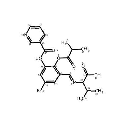 CC(C)C(=O)Oc1c(C=NC(C(=O)O)C(C)C)cc(Br)cc1OC(=O)c1cccnc1